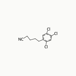 N#CCCCCc1cc(Cl)c(Cl)cc1Cl